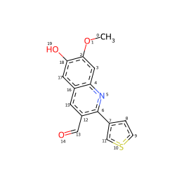 COc1cc2nc(-c3ccsc3)c(C=O)cc2cc1O